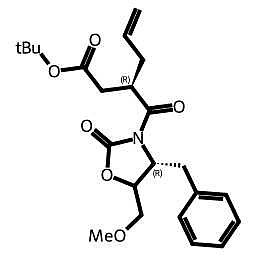 C=CC[C@H](CC(=O)OC(C)(C)C)C(=O)N1C(=O)OC(COC)[C@H]1Cc1ccccc1